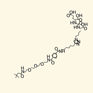 CC(C)(C)CC(=O)NCCOCCOCCOCCNC(=O)c1ccc(C(=O)NCCCCCCc2cn(CCCC[C@H](NC(=O)N[C@@H](CCC(=O)O)C(=O)O)C(=O)O)nn2)cc1